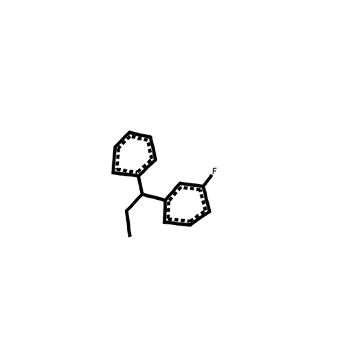 CCC(c1ccccc1)c1cccc(F)c1